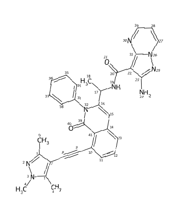 Cc1nn(C)c(C)c1C#Cc1cccc2cc(C(C)NC(=O)c3c(N)nn4cccnc34)n(-c3ccccc3)c(=O)c12